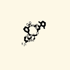 Cc1cccc(C)c1-c1cc2nc(n1)NS(=O)(=O)c1cccc(c1)C(=O)N(Cc1nccc(C(F)(F)F)n1)[C@H](CC(C)(C)C)CO2